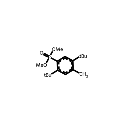 [CH2]c1cc(C(C)(C)C)c(P(=O)(OC)OC)cc1C(C)(C)C